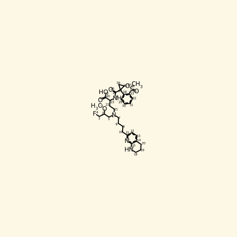 COC(CF)CN(CCCCc1ccc2c(n1)NCCC2)CCC(NC(=O)C1(c2ccccc2S(C)(=O)=O)CC1)C(=O)O